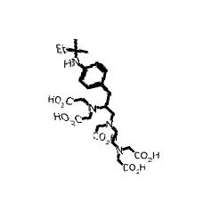 CCC(C)(C)Nc1ccc(CC(CN(CCN(CC(=O)O)CC(=O)O)CC(=O)O)N(CC(=O)O)CC(=O)O)cc1